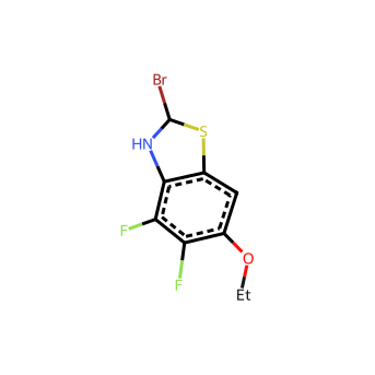 CCOc1cc2c(c(F)c1F)NC(Br)S2